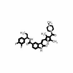 CCC(NC(=O)c1ccc2c(c1)C(=Cc1[nH]c(C)c(C(=O)N3CCN(C)CC3)c1C)C(=O)N2)c1ccc(F)c(F)c1